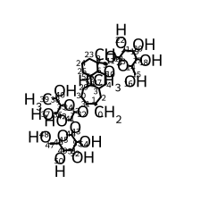 C=C1CC2CCC3[C@](C)(C(=O)OC4OC(CO)C(O)C(O)C4O)CCC[C@@]3(C)[C@@H]2CCC1OC(OC(CO)C(C)O)C(O)OC1OC(CO)C(O)C(O)C1O